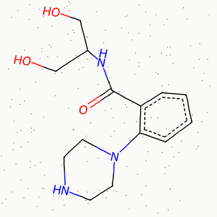 O=C(NC(CO)CO)c1ccccc1N1CCNCC1